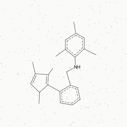 CC1=CC(C)C(c2ccccc2CNc2c(C)cc(C)cc2C)=C1C